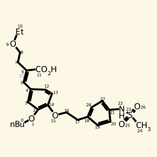 CCCCOc1cc(/C=C(/CCOCC)C(=O)O)ccc1OCCc1ccc(NS(C)(=O)=O)cc1